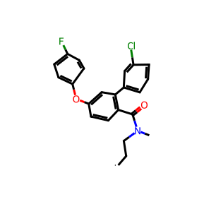 [CH2]CCN(C)C(=O)c1ccc(Oc2ccc(F)cc2)cc1-c1cccc(Cl)c1